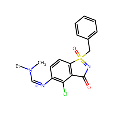 CCN(C)/C=N\c1ccc2c(c1Cl)C(=O)N=S2(=O)Cc1ccccc1